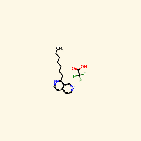 CCCCCCCc1nccc2ccncc12.O=C(O)C(F)(F)F